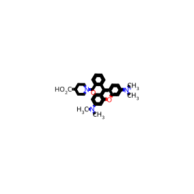 CN(C)c1ccc2c(-c3ccccc3C(=O)N3CCC(C(=O)O)CC3)c3ccc(=[N+](C)C)cc-3oc2c1